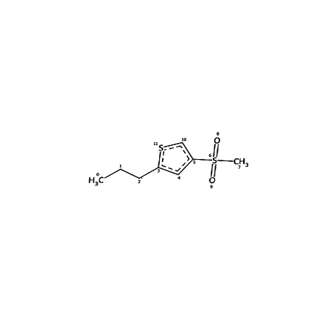 CC[CH]c1cc(S(C)(=O)=O)cs1